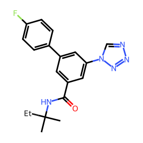 CCC(C)(C)NC(=O)c1cc(-c2ccc(F)cc2)cc(-n2cnnn2)c1